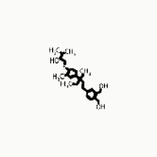 CCC(CC)(CCc1ccc(CO)c(CO)c1)c1ccc(SCC(O)C(C)C)c(C)c1